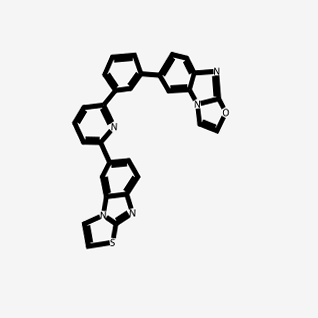 c1cc(-c2ccc3nc4occn4c3c2)cc(-c2cccc(-c3ccc4nc5sccn5c4c3)n2)c1